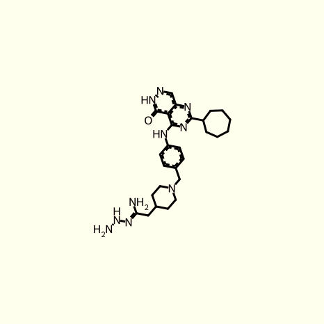 NN/N=C(\N)CC1CCN(Cc2ccc(Nc3nc(C4CCCCCC4)nc4cn[nH]c(=O)c34)cc2)CC1